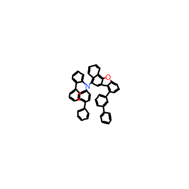 c1ccc(-c2ccc(N(c3ccccc3-c3ccccc3)c3cc4c(oc5cccc(-c6cccc(-c7ccccc7)c6)c54)c4ccccc34)cc2)cc1